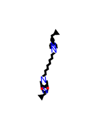 C(CCCCCN1CC2CN(CC3CC3)CC(C1)C21CCCC1)CCCCN1CC2CN(CC3CC3)CC(C1)C21CCCC1